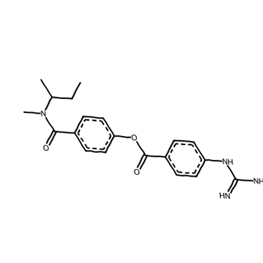 CCC(C)N(C)C(=O)c1ccc(OC(=O)c2ccc(NC(=N)N)cc2)cc1